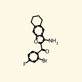 Nc1c(C(=O)c2ccc(F)cc2Br)oc2cc3c(cc12)CCCC3